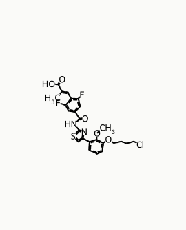 COc1c(OCCCCCl)cccc1-c1csc(NC(=O)c2cc(F)c(C=C(C)C(=O)O)c(F)c2)n1